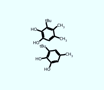 Cc1cc(O)c(O)c(C(C)(C)C)c1.Cc1cc(O)c(O)c(C(C)(C)C)c1C